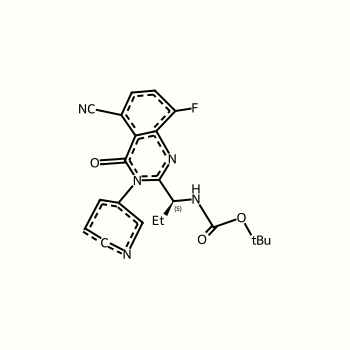 CC[C@H](NC(=O)OC(C)(C)C)c1nc2c(F)ccc(C#N)c2c(=O)n1-c1cccnc1